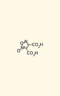 O=C(O)c1no[n+]([O-])c1C(=O)O